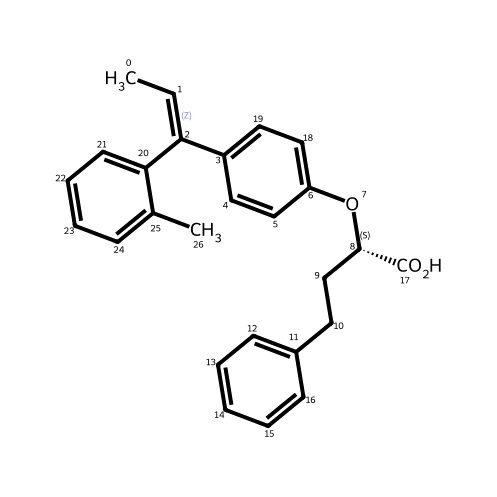 C/C=C(/c1ccc(O[C@@H](CCc2ccccc2)C(=O)O)cc1)c1ccccc1C